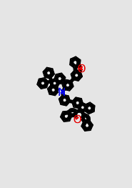 c1ccc(C2(c3ccccc3)c3ccccc3-c3c(N(c4ccc(-c5ccc6oc7ccccc7c6c5)cc4)c4cccc(-c5ccc6c(c5)C5(c7ccccc7-6)c6ccc7ccccc7c6Oc6c5ccc5ccccc65)c4)cccc32)cc1